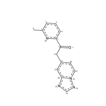 Cc1cccc(C(=O)Cc2ccn3ncnc3c2)n1